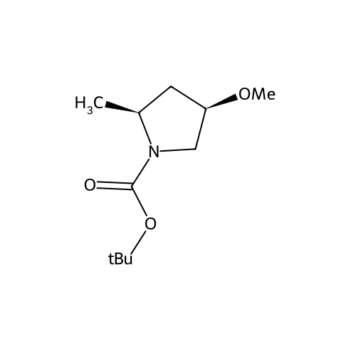 CO[C@@H]1C[C@H](C)N(C(=O)OC(C)(C)C)C1